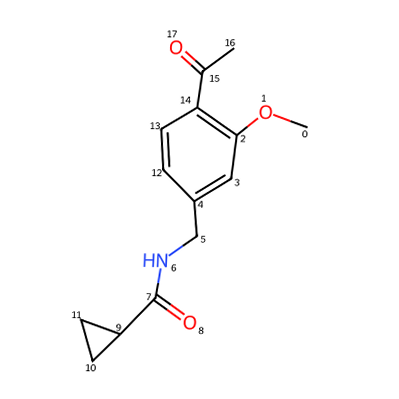 COc1cc(CNC(=O)C2CC2)ccc1C(C)=O